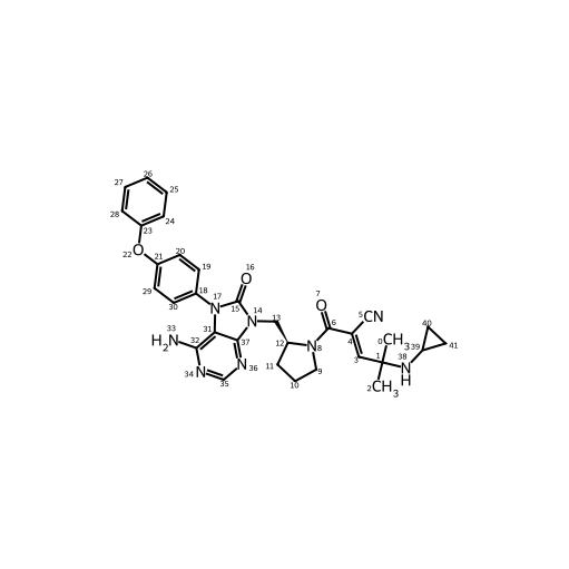 CC(C)(C=C(C#N)C(=O)N1CCC[C@H]1Cn1c(=O)n(-c2ccc(Oc3ccccc3)cc2)c2c(N)ncnc21)NC1CC1